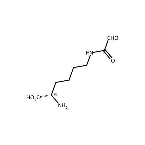 N[C@@H](CCCCNC(=O)C=O)C(=O)O